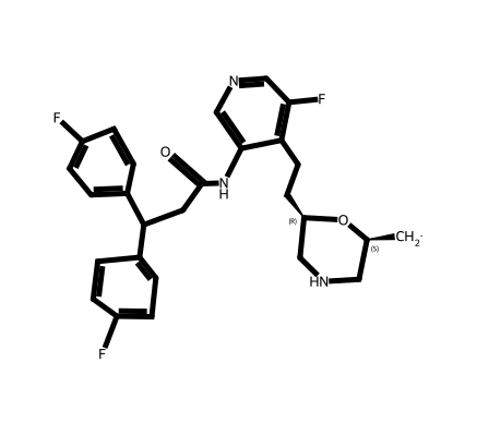 [CH2][C@H]1CNC[C@@H](CCc2c(F)cncc2NC(=O)CC(c2ccc(F)cc2)c2ccc(F)cc2)O1